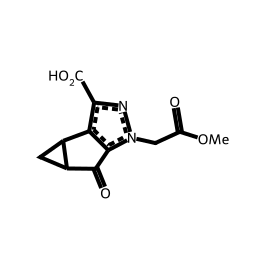 COC(=O)Cn1nc(C(=O)O)c2c1C(=O)C1CC21